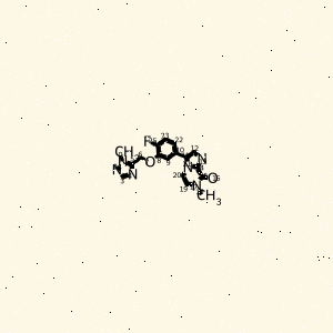 Cn1ncnc1COc1cc(-c2cnc3c(=O)n(C)ccn23)ccc1F